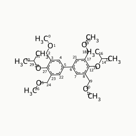 COCc1cc(-c2cc(COC)c(OC(C)C)c(COC)c2)cc(COC)c1OC(C)C